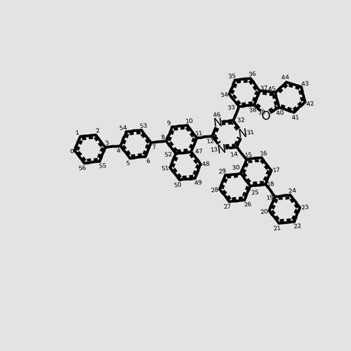 c1ccc(-c2ccc(-c3ccc(-c4nc(-c5ccc(-c6ccccc6)c6ccccc56)nc(-c5cccc6c5oc5ccccc56)n4)c4ccccc34)cc2)cc1